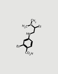 CCc1cc(NCC(CC)N(C)C)ccc1C(=O)O